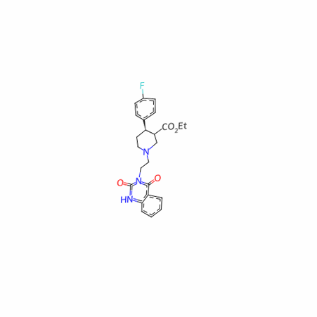 CCOC(=O)C1CN(CCn2c(=O)[nH]c3ccccc3c2=O)CC[C@H]1c1ccc(F)cc1